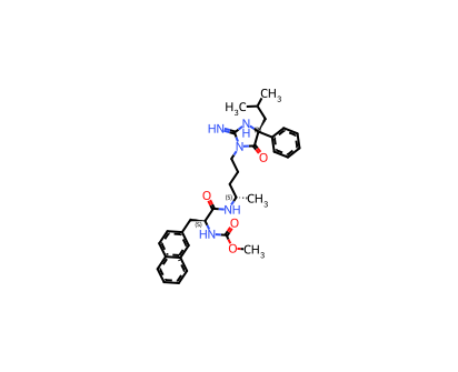 COC(=O)N[C@@H](Cc1ccc2ccccc2c1)C(=O)N[C@@H](C)CCCN1C(=N)N[C@](CC(C)C)(c2ccccc2)C1=O